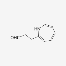 O=CCCC1=CC=CC=CN1